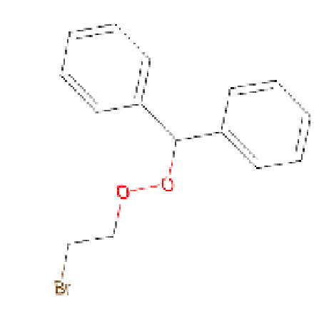 BrCCOOC(c1ccccc1)c1ccccc1